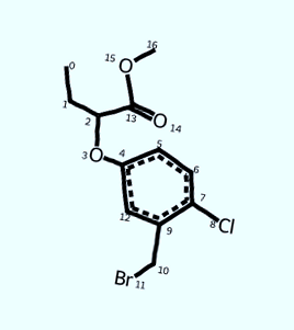 CCC(Oc1ccc(Cl)c(CBr)c1)C(=O)OC